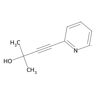 CC(C)(O)C#Cc1ccc[c]n1